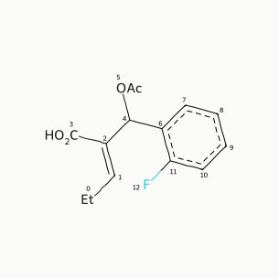 CCC=C(C(=O)O)C(OC(C)=O)c1ccccc1F